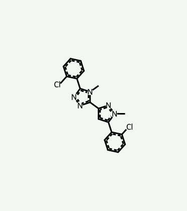 Cn1nc(-c2nnc(-c3ccccc3Cl)n2C)cc1-c1ccccc1Cl